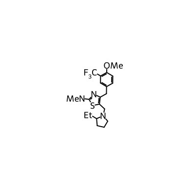 CCC1CCCN1Cc1sc(NC)nc1Cc1ccc(OC)c(C(F)(F)F)c1